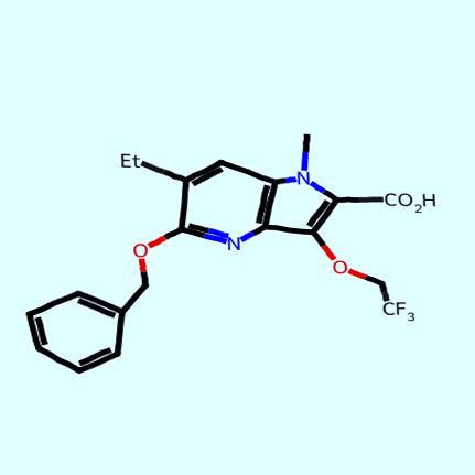 CCc1cc2c(nc1OCc1ccccc1)c(OCC(F)(F)F)c(C(=O)O)n2C